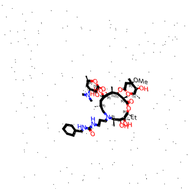 CC[C@H]1OC(=O)[C@H](C)[C@@H](O[C@H]2C[C@@](C)(OC)[C@@H](O)[C@H](C)O2)[C@H](C)[C@@H](O[C@@H]2O[C@H](C)C[C@H](N(C)C)[C@H]2O)[C@](C)(O)C[C@@H](C)CN(CCCNC(=O)NCC2CCCCC2)[C@H](C)[C@@H](O)[C@]1(C)O